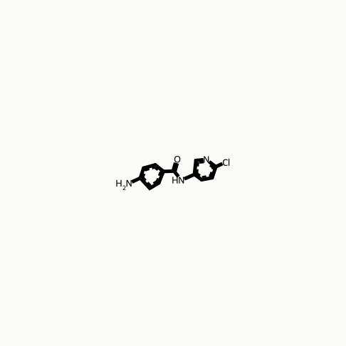 Nc1ccc(C(=O)Nc2ccc(Cl)nc2)cc1